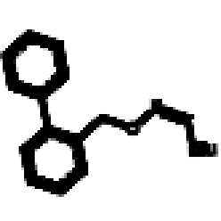 CCCC/[C]=N\OCc1ccccc1-c1ccccc1